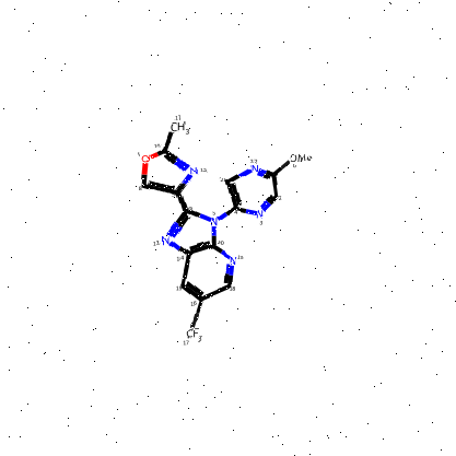 COc1cnc(-n2c(-c3coc(C)n3)nc3cc(C(F)(F)F)cnc32)cn1